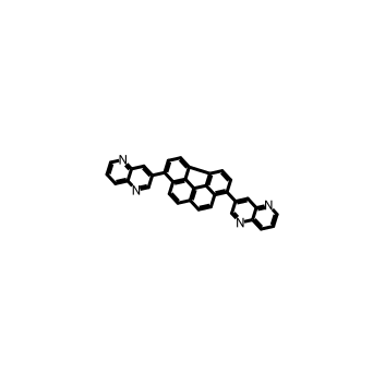 c1cnc2cc(-c3ccc4c5c3ccc3ccc6c(-c7cnc8cccnc8c7)ccc-4c6c35)cnc2c1